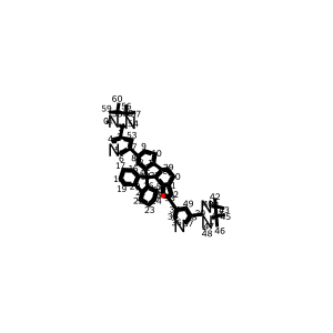 CN1C(c2cncc(-c3ccc4c(c3)C3(c5ccccc5-c5ccccc53)c3c-4ccc4cc(-c5cncc(C6=NC(C)(C)C(C)(C)N6C)c5)ccc34)c2)=NC(C)(C)C1(C)C